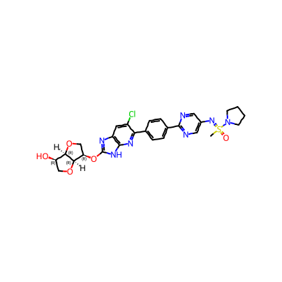 CS(=O)(=Nc1cnc(-c2ccc(-c3nc4[nH]c(O[C@@H]5CO[C@H]6[C@@H]5OC[C@H]6O)nc4cc3Cl)cc2)nc1)N1CCCC1